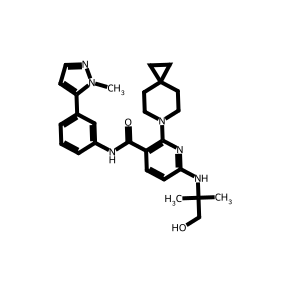 Cn1nccc1-c1cccc(NC(=O)c2ccc(NC(C)(C)CO)nc2N2CCC3(CC2)CC3)c1